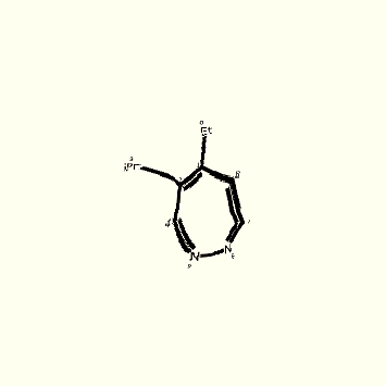 CCC1=C(C(C)C)C=NN=C=C1